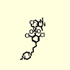 Cc1nn(C)c(C)c1N(CC(F)(F)F)S(=O)(=O)c1c(Cl)cc(CCCN2CCN(C)CC2)cc1Cl